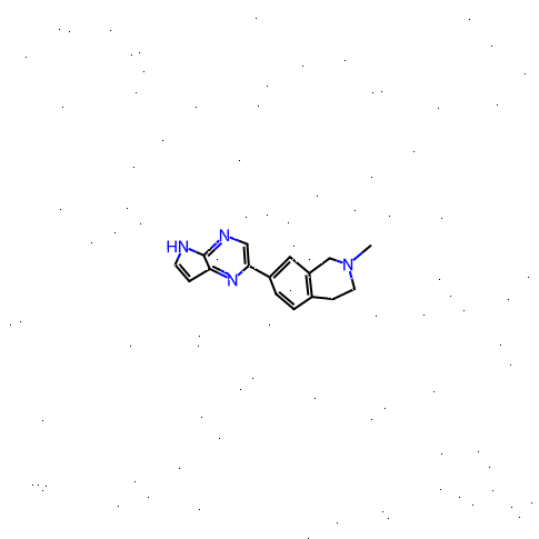 CN1CCc2ccc(-c3cnc4[nH]ccc4n3)cc2C1